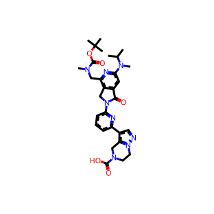 CC(C)N(C)c1cc2c(c(CN(C)C(=O)OC(C)(C)C)n1)CN(c1cccc(-c3cnn4c3CN(C(=O)O)CC4)n1)C2=O